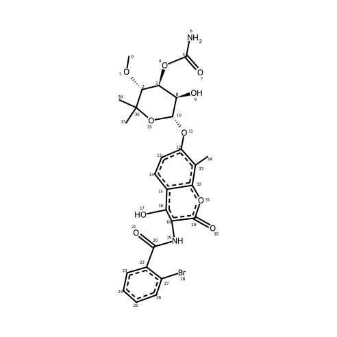 CO[C@@H]1[C@@H](OC(N)=O)[C@@H](O)[C@H](Oc2ccc3c(O)c(NC(=O)c4ccccc4Br)c(=O)oc3c2C)OC1(C)C